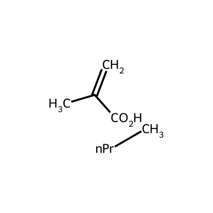 C=C(C)C(=O)O.CCCC